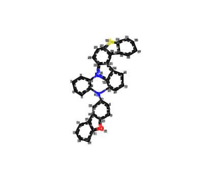 c1ccc2c(c1)N(c1ccc3oc4ccccc4c3c1)c1cccc3c4c5c(ccc4n-2c13)sc1ccccc15